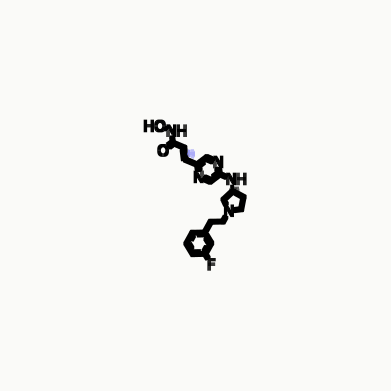 O=C(/C=C/c1cnc(N[C@@H]2CCN(CCc3cccc(F)c3)C2)cn1)NO